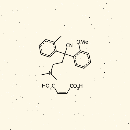 COc1ccccc1C(C#N)(CCN(C)C)c1ccccc1C.O=C(O)/C=C\C(=O)O